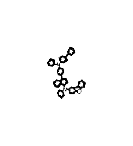 c1ccc(-c2ccc(N(c3ccccc3)c3ccc(-c4ccc(N(c5ccccc5)c5ccc6oc7ccccc7c6c5)c5ccccc45)cc3)cc2)cc1